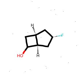 OC1C[C@H]2C[C@H](F)C[C@@H]12